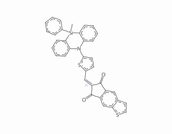 C[Si]1(c2ccccc2)c2ccccc2N(c2ccc(/C=C3\C(=O)c4cc5ccsc5cc4C3=O)s2)c2ccccc21